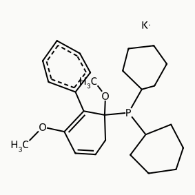 COC1=C(c2ccccc2)C(OC)(P(C2CCCCC2)C2CCCCC2)CC=C1.[K]